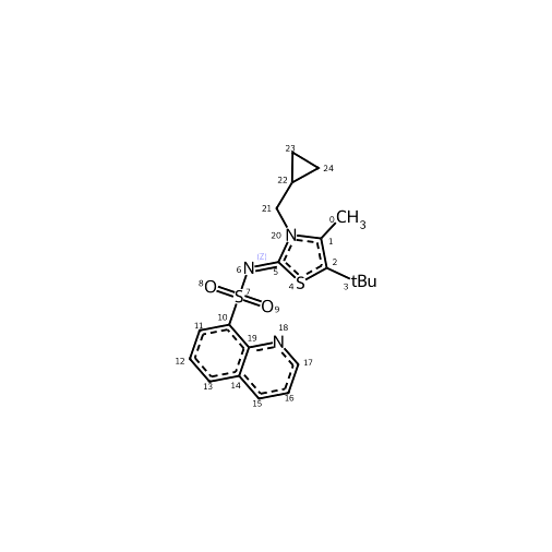 Cc1c(C(C)(C)C)s/c(=N\S(=O)(=O)c2cccc3cccnc23)n1CC1CC1